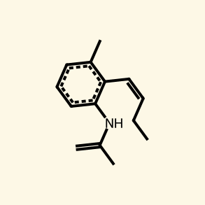 C=C(C)Nc1cccc(C)c1/C=C\CC